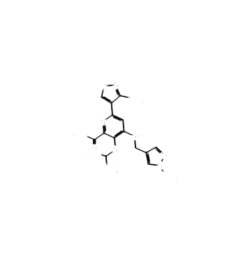 CC(=N)c1nc(-c2conc2C)cc(NCc2cnn(C)c2)c1NC(C)C